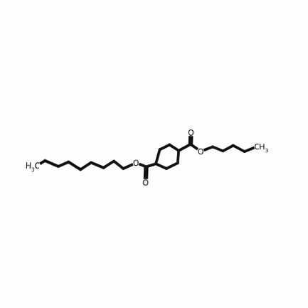 CCCCCCCCCOC(=O)C1CCC(C(=O)OCCCCC)CC1